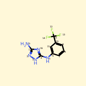 Nc1n[nH]c(Nc2cccc(C(F)(F)F)c2)n1